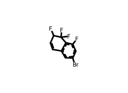 Fc1cc(Br)cc2c1C(F)(F)C(F)C=C2